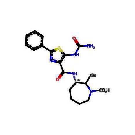 CC(C)(C)C1[C@@H](NC(=O)c2nc(-c3ccccc3)sc2NC(N)=O)CCCCN1C(=O)O